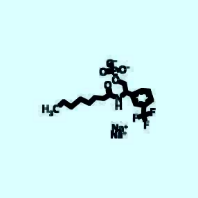 CCCCCCCC(=O)NC(COP(=O)([O-])[O-])c1cccc(C(F)(F)F)c1.[Na+].[Na+]